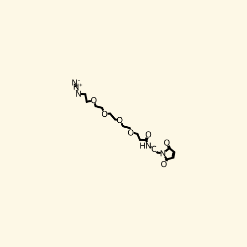 [N-]=[N+]=NCCOCCOCCOCCOCCC(=O)NCCN1C(=O)C=CC1=O